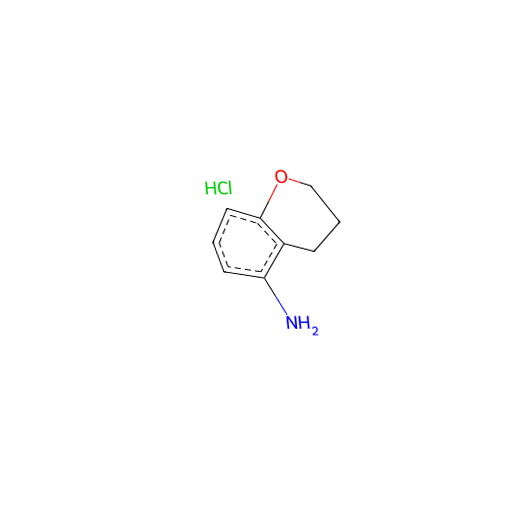 Cl.Nc1cccc2c1CCCO2